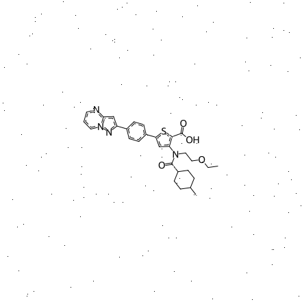 CCOCCN(C(=O)C1CCC(C)CC1)c1cc(-c2ccc(-c3cc4ncccn4n3)cc2)sc1C(=O)O